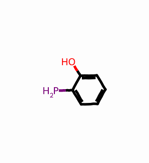 Oc1ccccc1P